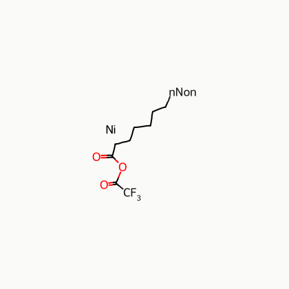 CCCCCCCCCCCCCCCC(=O)OC(=O)C(F)(F)F.[Ni]